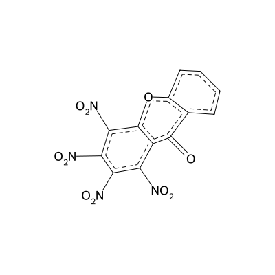 O=c1c2ccccc2oc2c([N+](=O)[O-])c([N+](=O)[O-])c([N+](=O)[O-])c([N+](=O)[O-])c12